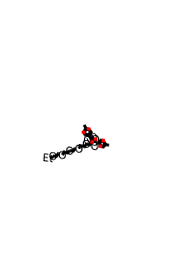 CCOCCOCCOCCOCCOCC(S(=O)(=O)c1ccc(C)cc1)S(=O)(=O)c1ccc(C)cc1